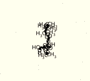 CC(C)(CCO[Si](C)(C)C(C)(C)C)COS(=O)(=O)CCOC[C@@H]1C[C@@](CC(=O)OC(C)(C)C)(NC(=O)C=CC(=O)O)C(=O)N1